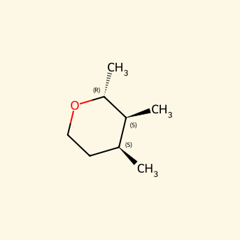 C[C@H]1[C@@H](C)CCO[C@@H]1C